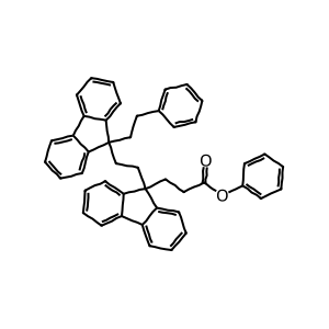 O=C(CCC1(CCC2(CCc3ccccc3)c3ccccc3-c3ccccc32)c2ccccc2-c2ccccc21)Oc1ccccc1